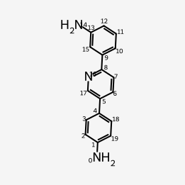 Nc1ccc(-c2ccc(-c3cccc(N)c3)nc2)cc1